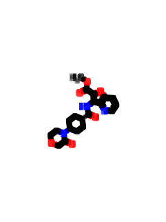 COC(=O)c1oc2cccnc2c1NC(=O)[C@H]1CC[C@H](N2CCOCC2=O)CC1